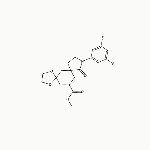 COC(=O)C1CC2(CC3(CCN(c4cc(F)cc(F)c4)C3=O)C1)OCCO2